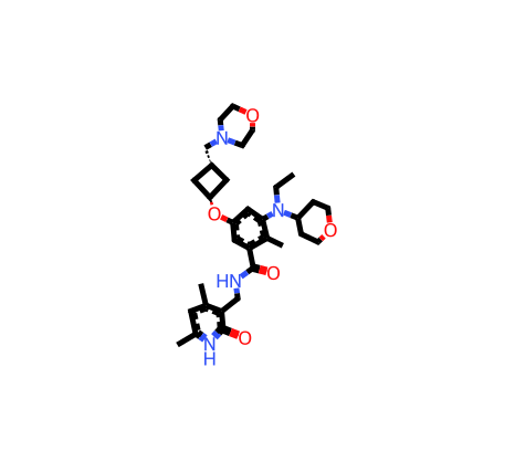 CCN(c1cc(O[C@H]2C[C@@H](CN3CCOCC3)C2)cc(C(=O)NCc2c(C)cc(C)[nH]c2=O)c1C)C1CCOCC1